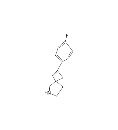 Fc1ccc(C2=CC3(CCNC3)C2)cc1